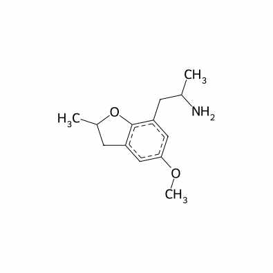 COc1cc(CC(C)N)c2c(c1)CC(C)O2